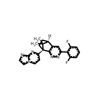 CC1(C)[C@H]2CC[C@@]1(c1ccn3ccnc3n1)c1nnc(-c3c(F)cccc3F)cc12